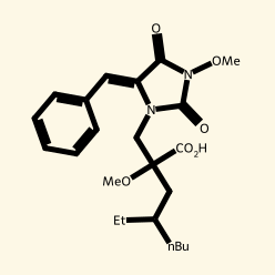 CCCCC(CC)CC(CN1C(=O)N(OC)C(=O)C1=Cc1ccccc1)(OC)C(=O)O